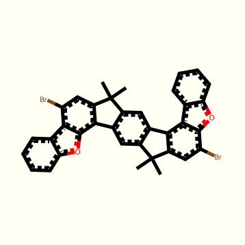 CC1(C)c2cc3c(cc2-c2c1cc(Br)c1c2oc2ccccc21)C(C)(C)c1cc(Br)c2oc4ccccc4c2c1-3